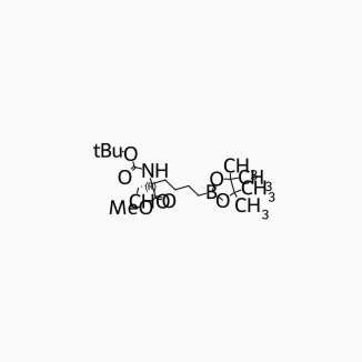 COC(=O)[C@](CC=O)(CCCCB1OC(C)(C)C(C)(C)O1)NC(=O)OC(C)(C)C